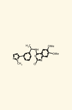 COc1cc2nc(Cl)nc(N[C@H](C)c3cccc(-c4ccnn4C)c3)c2cc1OC